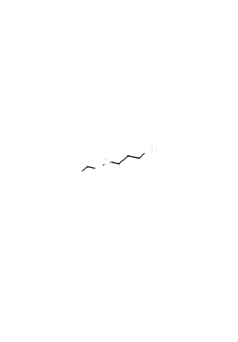 CCCCNOCC